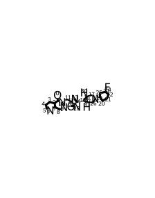 O=c1c2cccnc2cnn1Cc1nc([C@@H]2[C@@H]3CN(c4cccc(F)c4)C[C@@H]32)no1